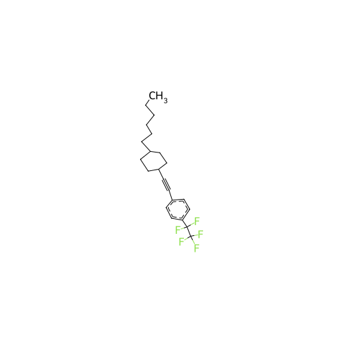 CCCCCCC1CCC(C#Cc2ccc(C(F)(F)C(F)(F)F)cc2)CC1